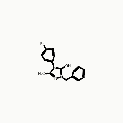 CC1=NN(Cc2ccccc2)C(O)N1c1ccc(Br)cc1